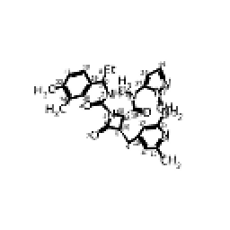 CC[C@@H](NC(=O)N1C(=O)[C@H](Cc2cc(C)nc(N)c2)[C@H]1C(=O)N(C)c1ccnn1C)c1ccc(C)c(C)c1